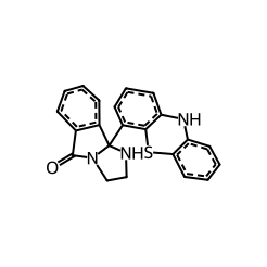 O=C1c2ccccc2C2(c3cccc4c3Sc3ccccc3N4)NCCN12